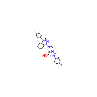 O=C(Nc1ccc(F)cc1)N1CCN(c2nnc(-c3ccc(F)cc3)c3ccccc23)C[C@@H]1CO